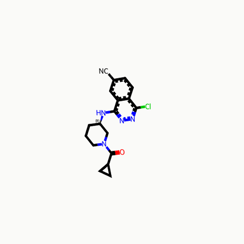 N#Cc1ccc2c(Cl)nnc(N[C@@H]3CCCN(C(=O)C4CC4)C3)c2c1